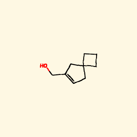 OCC1=CCC2(CCC2)C1